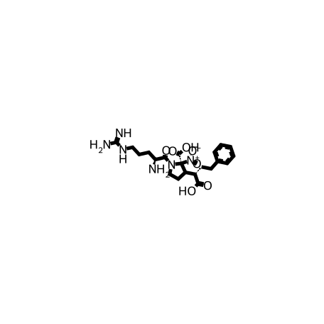 N=C(N)NCCC[C@H](N)C(=O)N1CCC([C@H](CCc2ccccc2)C(=O)O)[C@]1(C(=O)O)[N+](=O)[O-]